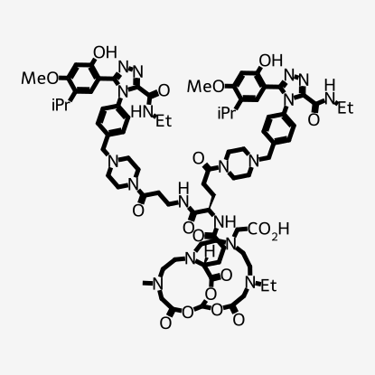 CCNC(=O)c1nnc(-c2cc(C(C)C)c(OC)cc2O)n1-c1ccc(CN2CCN(C(=O)CCNC(=O)[C@@H](CCC(=O)N3CCN(Cc4ccc(-n5c(C(=O)NCC)nnc5-c5cc(C(C)C)c(OC)cc5O)cc4)CC3)NC(=O)CC[C@@H]3C(=O)OC4OC(=O)CN(C)CCN3CCN(CC(=O)O)CCN(CC)CC(=O)O4)CC2)cc1